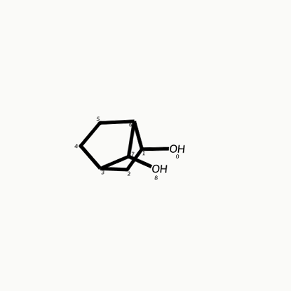 OC1CC2CCC1C2O